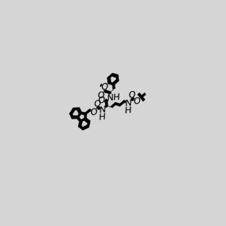 COC(=O)[C@H](Cc1ccccc1)NC(=O)[C@H](CCCCNC(=O)OC(C)(C)C)NC(=O)OCC1c2ccccc2-c2ccccc21